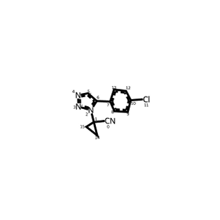 N#CC1(n2nn[c]c2-c2ccc(Cl)cc2)CC1